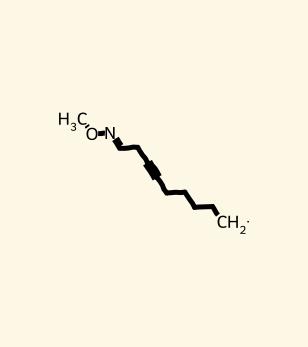 [CH2]CCCCC#CC/C=N/OC